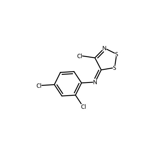 Clc1ccc(N=c2ssnc2Cl)c(Cl)c1